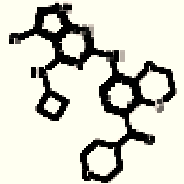 O=C(c1ccc(Nc2nc(NC3CCC3)c3c(Cl)c[nH]c3n2)c2c1OCCO2)N1CCOCC1